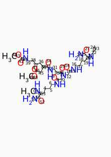 CN[C@@H](CCCCNC(=O)CN(CC(=O)NCCCC[C@H](NC1CC1)C(N)=O)C(=O)CCNC(=O)[C@H](CCCCNC(=O)OC)CC(=O)OC)C(N)=O